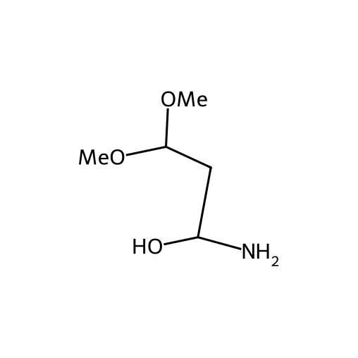 COC(CC(N)O)OC